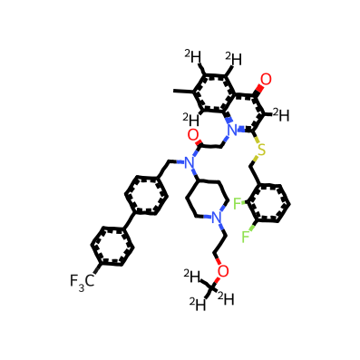 [2H]c1c(C)c([2H])c2c(c1[2H])c(=O)c([2H])c(SCc1cccc(F)c1F)n2CC(=O)N(Cc1ccc(-c2ccc(C(F)(F)F)cc2)cc1)C1CCN(CCOC([2H])([2H])[2H])CC1